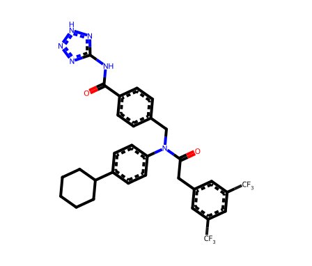 O=C(Nc1nn[nH]n1)c1ccc(CN(C(=O)Cc2cc(C(F)(F)F)cc(C(F)(F)F)c2)c2ccc(C3CCCCC3)cc2)cc1